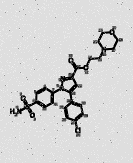 NS(=O)(=O)c1ccc(-n2nc(C(=O)OCCN3CCOCC3)cc2-c2ccc(Cl)cc2)cc1